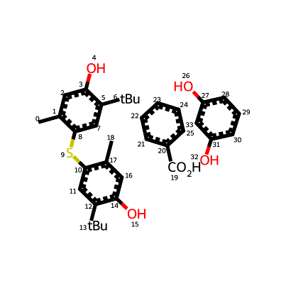 Cc1cc(O)c(C(C)(C)C)cc1Sc1cc(C(C)(C)C)c(O)cc1C.O=C(O)c1ccccc1.Oc1cccc(O)c1